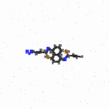 CC#CC1=Nc2ccc3c4c(ccc(c24)S1)N=C(C#CN)S3